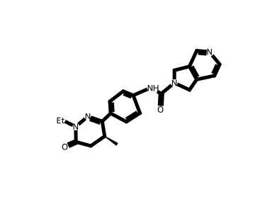 CCN1N=C(c2ccc(NC(=O)N3Cc4ccncc4C3)cc2)[C@@H](C)CC1=O